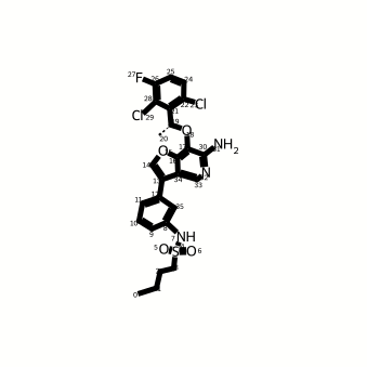 CCCCS(=O)(=O)Nc1cccc(-c2coc3c(O[C@H](C)c4c(Cl)ccc(F)c4Cl)c(N)ncc23)c1